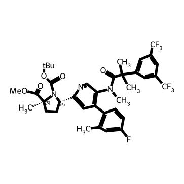 COC(=O)[C@]1(C)CC[C@@H](c2cc(-c3ccc(F)cc3C)c(N(C)C(=O)C(C)(C)c3cc(C(F)(F)F)cc(C(F)(F)F)c3)cn2)N1C(=O)OC(C)(C)C